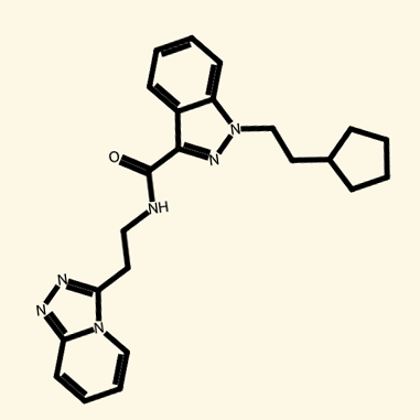 O=C(NCCc1nnc2ccccn12)c1nn(CCC2CCCC2)c2ccccc12